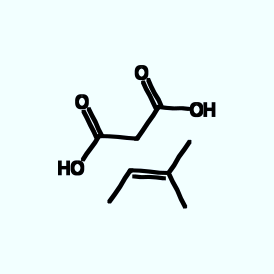 CC=C(C)C.O=C(O)CC(=O)O